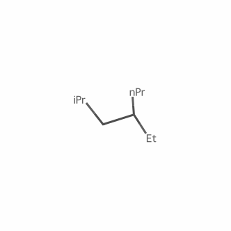 [CH2]CC(CCC)CC(C)C